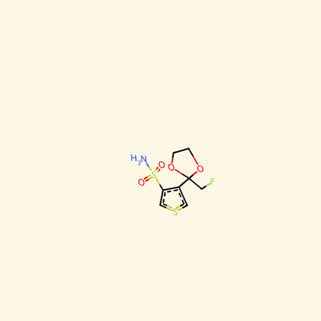 NS(=O)(=O)c1cscc1C1(CF)OCCO1